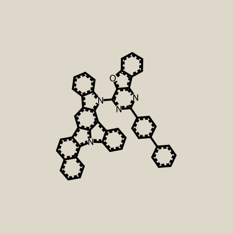 c1ccc(-c2ccc(-c3nc(-n4c5ccccc5c5cc6c7ccc8ccccc8c7n7c8ccccc8c(c54)c67)c4oc5ccccc5c4n3)cc2)cc1